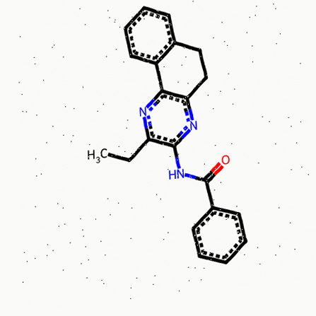 CCc1nc2c(nc1NC(=O)c1ccccc1)CCc1ccccc1-2